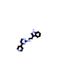 c1ccc2c(CCNc3nccc(-c4ccncc4)n3)c[nH]c2c1